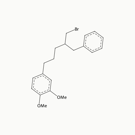 COc1ccc(CCCC(CBr)Cc2ccccc2)cc1OC